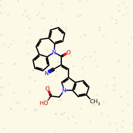 Cc1ccc2c(/C=C(\C#N)C(=O)N3c4ccccc4C=Cc4ccccc43)cn(CC(=O)O)c2c1